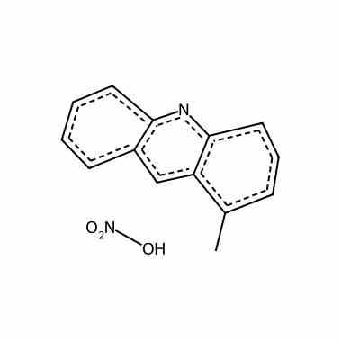 Cc1cccc2nc3ccccc3cc12.O=[N+]([O-])O